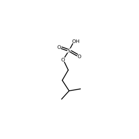 CC(C)CCOS(=O)(=O)O